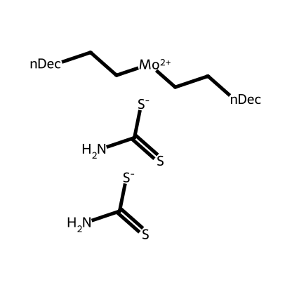 CCCCCCCCCCC[CH2][Mo+2][CH2]CCCCCCCCCCC.NC(=S)[S-].NC(=S)[S-]